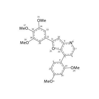 COc1ccc(-c2ccnc3cc(-c4cc(OC)c(OC)c(OC)c4)oc23)c(OC)c1